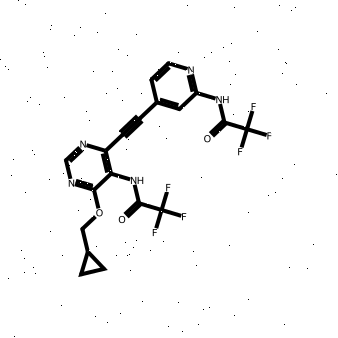 O=C(Nc1cc(C#Cc2ncnc(OCC3CC3)c2NC(=O)C(F)(F)F)ccn1)C(F)(F)F